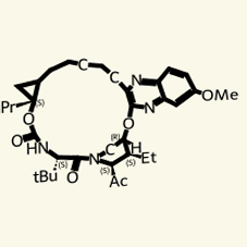 CC[C@@H]1[C@@H]2CN(C(=O)[C@H](C(C)(C)C)NC(=O)O[C@]3(C(C)C)CC3CCCCCc3nc4ccc(OC)cc4nc3O2)[C@@H]1C(C)=O